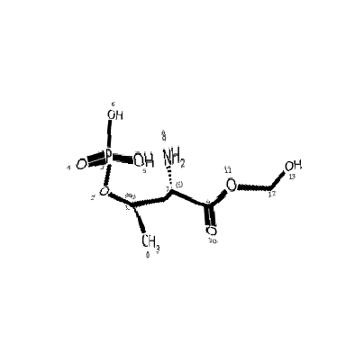 C[C@@H](OP(=O)(O)O)[C@H](N)C(=O)OCO